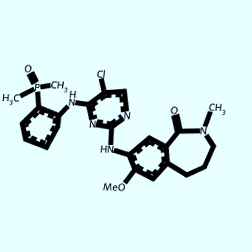 COc1cc2c(cc1Nc1ncc(Cl)c(Nc3ccccc3P(C)(C)=O)n1)C(=O)N(C)CCC2